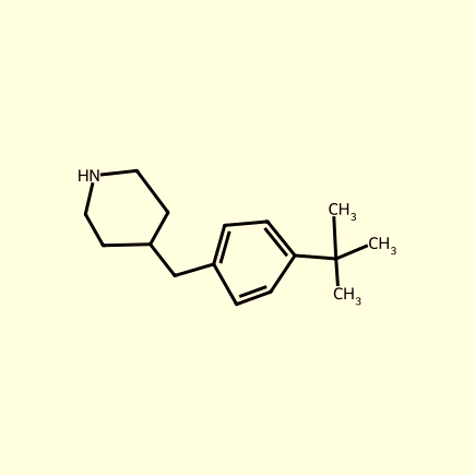 CC(C)(C)c1ccc(CC2CCNCC2)cc1